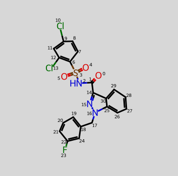 O=C(NS(=O)(=O)c1ccc(Cl)cc1Cl)c1nn(Cc2cccc(F)c2)c2ccccc12